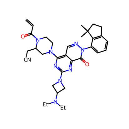 C=CC(=O)N1CCN(c2nc(N3CC(N(CC)CC)C3)nc3c(=O)n(-c4cccc5c4C(C)(C)CC5)ncc23)CC1CC#N